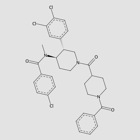 CN(C(=O)c1ccc(Cl)cc1)[C@@H]1CCN(C(=O)C2CCN(C(=O)c3ccccc3)CC2)C[C@H]1c1ccc(Cl)c(Cl)c1